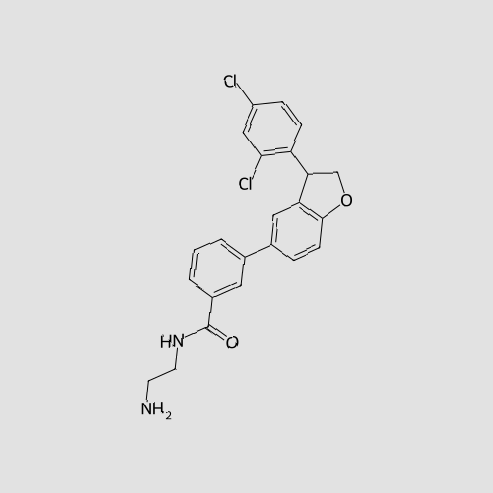 NCCNC(=O)c1cccc(-c2ccc3c(c2)C(c2ccc(Cl)cc2Cl)CO3)c1